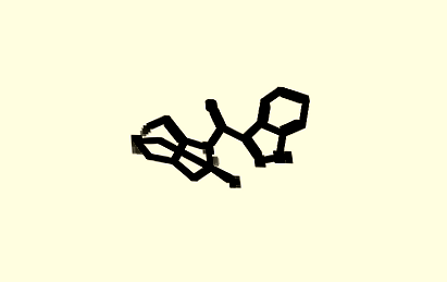 O=C(c1n[nH]c2ccccc12)N1C2=CC[N@@]3CC2C[C@@H]1C3